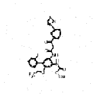 CC(C)(C)OC(=O)Nc1cc(OCC(F)(F)F)c(-c2ccccc2F)cc1NC(=O)CC(=O)c1cccc(-n2ccnn2)c1